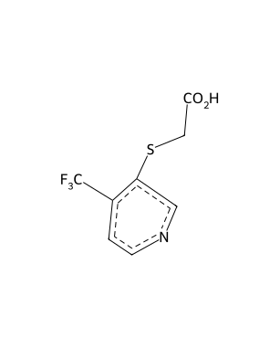 O=C(O)CSc1cnccc1C(F)(F)F